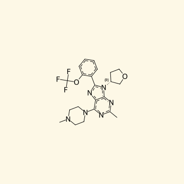 Cc1nc(N2CCN(C)CC2)c2nc(-c3ccccc3OC(F)(F)F)n([C@@H]3CCOC3)c2n1